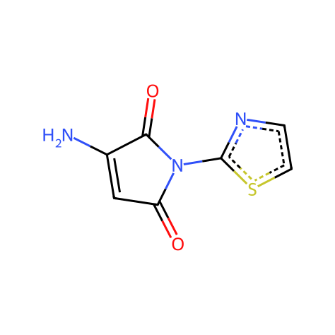 NC1=CC(=O)N(c2nccs2)C1=O